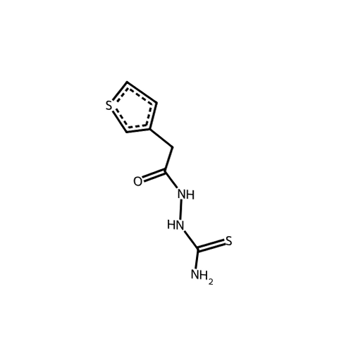 NC(=S)NNC(=O)Cc1ccsc1